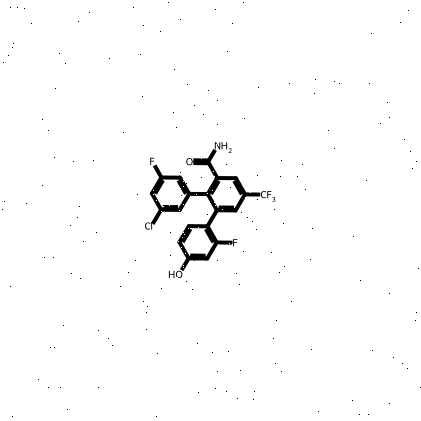 NC(=O)c1cc(C(F)(F)F)cc(-c2ccc(O)cc2F)c1-c1cc(F)cc(Cl)c1